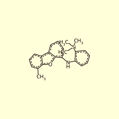 Cc1cccc2c1oc1c(Nc3ccccc3[Si](C)(C)C)cccc12